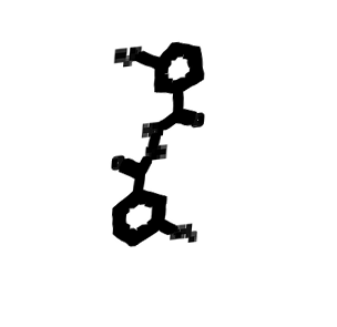 Nc1cccc(C(=O)NNC(=O)c2cccc(N)c2)c1